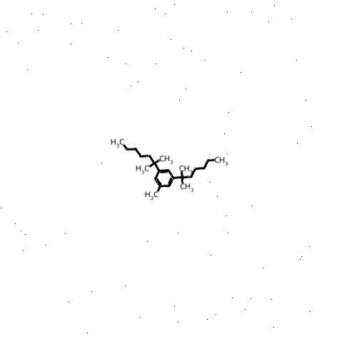 [CH2]c1cc(C(C)(C)CCCCC)cc(C(C)(C)CCCCC)c1